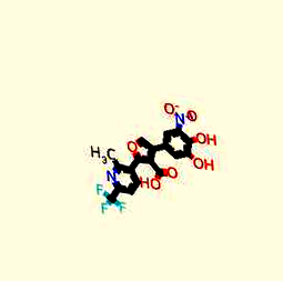 Cc1nc(C(F)(F)F)ccc1-c1occ(-c2cc(O)c(O)c([N+](=O)[O-])c2)c1C(=O)O